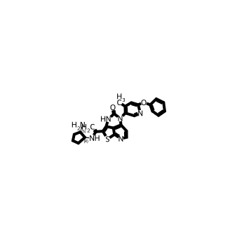 C=C(N[C@@H]1CCC[C@@H]1N)c1sc2nccc3c2c1NC(=O)N3c1cnc(Oc2ccccc2)cc1C